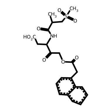 CC(CS(C)(=O)=O)C(=O)NC(CC(=O)O)C(=O)COC(=O)Cc1cccc2ccccc12